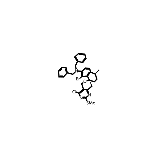 CSc1nc(Cl)c2c(n1)C[C@@]1(CC[C@H](C)c3ccc(N(Cc4ccccc4)Cc4ccccc4)c(Br)c31)OC2